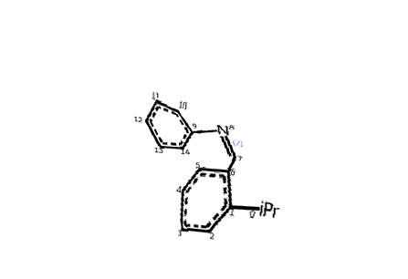 CC(C)c1ccccc1/C=N\c1ccccc1